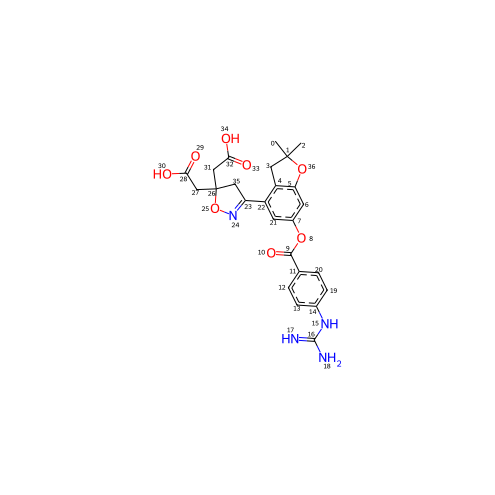 CC1(C)Cc2c(cc(OC(=O)c3ccc(NC(=N)N)cc3)cc2C2=NOC(CC(=O)O)(CC(=O)O)C2)O1